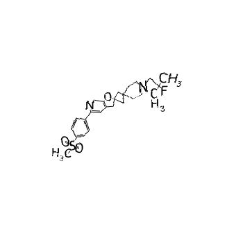 CC(C)(F)CN1CCC2(CC1)CC1(Cc3cc(-c4ccc(S(C)(=O)=O)cc4)ncc3O1)C2